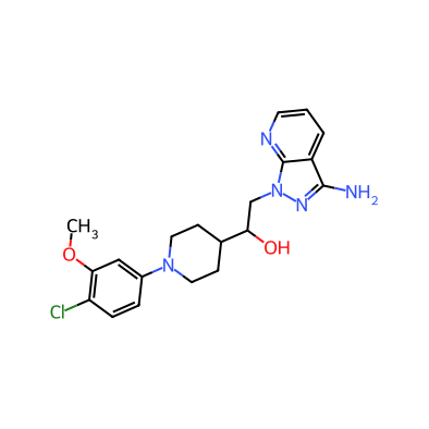 COc1cc(N2CCC(C(O)Cn3nc(N)c4cccnc43)CC2)ccc1Cl